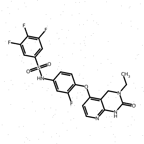 CCN1Cc2c(Oc3ccc(NS(=O)(=O)c4cc(F)c(F)c(F)c4)cc3F)ccnc2NC1=O